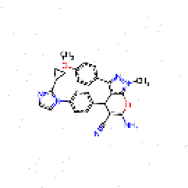 COc1ccc(-c2nn(C)c3c2C(c2ccc(-n4ccnc4C4CC4)cc2)C(C#N)=C(N)O3)cc1